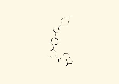 CN1CCN(c2nc(-c3ccc(C(=O)N[C@@H](CC(C)(C)C)C(=O)N4CC[C@H]5OCC(=O)[C@H]54)cc3)cs2)CC1